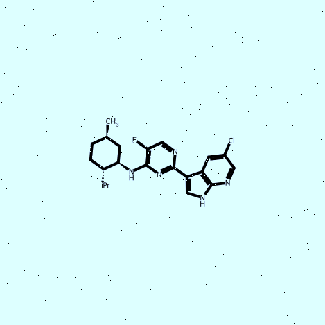 CC(C)[C@@H]1CC[C@@H](C)C[C@H]1Nc1nc(-c2c[nH]c3ncc(Cl)cc23)ncc1F